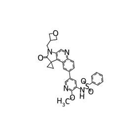 COc1ncc(-c2ccc3ncc4c(c3c2)C2(CC2)C(=O)N4CC2COC2)cc1NS(=O)(=O)c1ccccc1